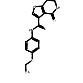 CCOc1ccc(NC(=O)c2c[nH]c3c2C(=O)NCC3)cc1